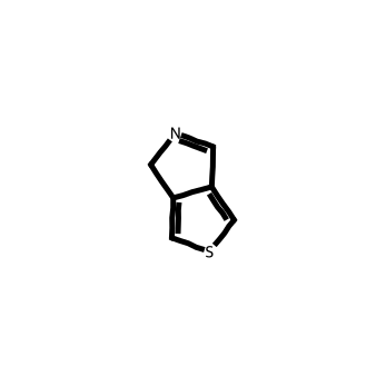 C1=NCc2cscc21